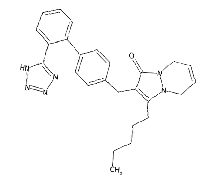 CCCCCc1c(Cc2ccc(-c3ccccc3-c3nnn[nH]3)cc2)c(=O)n2n1CC=CC2